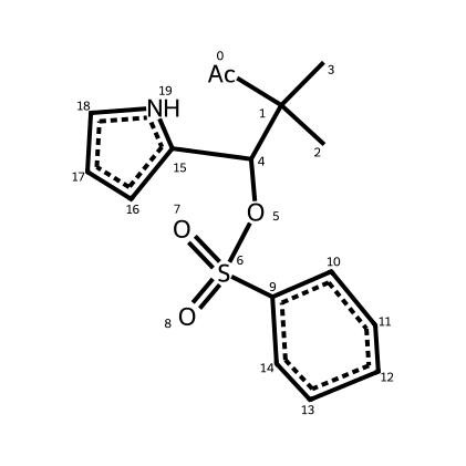 CC(=O)C(C)(C)C(OS(=O)(=O)c1ccccc1)c1ccc[nH]1